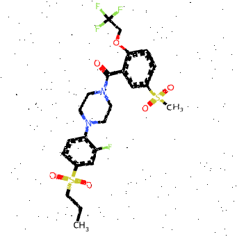 CCCS(=O)(=O)c1ccc(N2CCN(C(=O)c3cc(S(C)(=O)=O)ccc3OCC(F)(F)F)CC2)c(F)c1